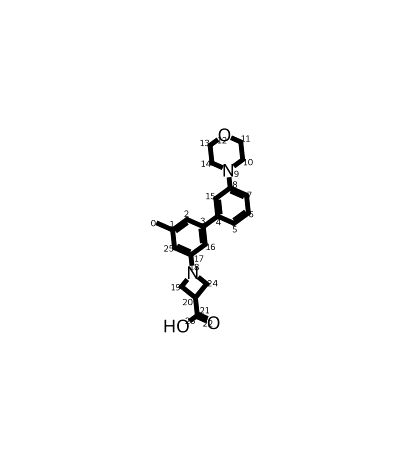 Cc1cc(-c2cccc(N3CCOCC3)c2)cc(N2CC(C(=O)O)C2)c1